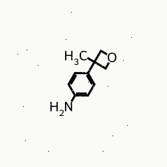 CC1(c2ccc(N)cc2)COC1